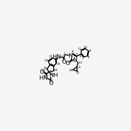 O=C(Cn1cc(-c2ccccc2)n(CC2CC2)c1=O)Nc1ccc2c(c1)CC1(C2)NC(=O)NC1=O